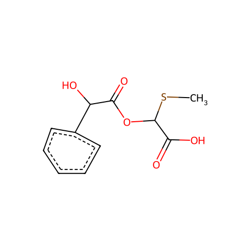 CSC(OC(=O)C(O)c1ccccc1)C(=O)O